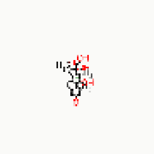 CC1CC2C3CCC4=CC(=O)C=C[C@]4(C)C3(F)[C@@H](O)C[C@]2(C)C1(O)C(=O)CO